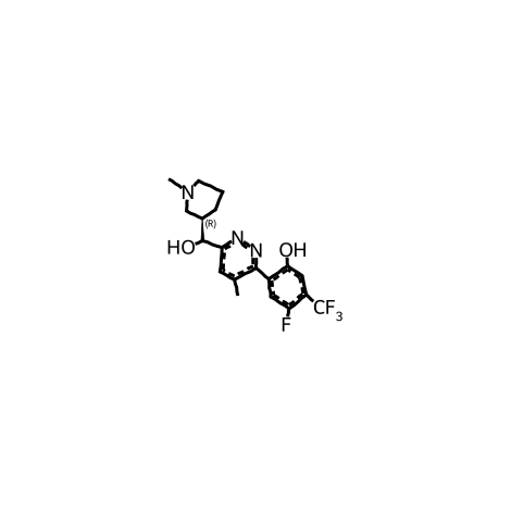 Cc1cc(C(O)[C@@H]2CCCN(C)C2)nnc1-c1cc(F)c(C(F)(F)F)cc1O